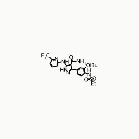 CCS(=O)(=O)Nc1ccc(-c2n[nH]c(Nc3cccc(C(F)(F)F)n3)c2C(N)=O)cc1OCC(C)C